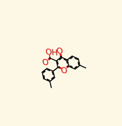 Cc1cccc(-c2oc3cc(C)ccc3c(=O)c2C(=O)O)c1